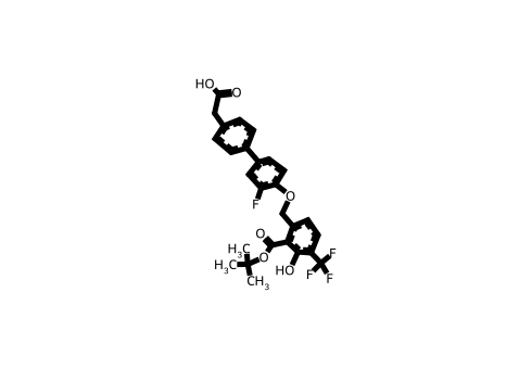 CC(C)(C)OC(=O)c1c(COc2ccc(-c3ccc(CC(=O)O)cc3)cc2F)ccc(C(F)(F)F)c1O